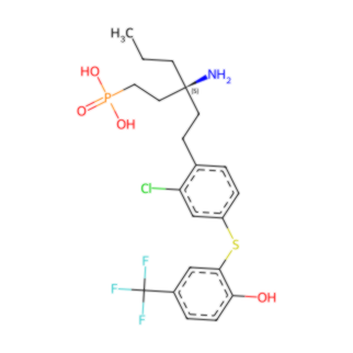 CCC[C@](N)(CCc1ccc(Sc2cc(C(F)(F)F)ccc2O)cc1Cl)CCP(=O)(O)O